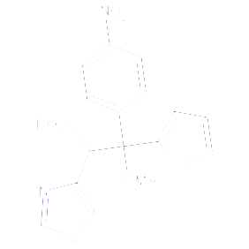 COC(c1ccc([N+](=O)[O-])cc1)(c1ccco1)C(C(=O)O)c1cscn1